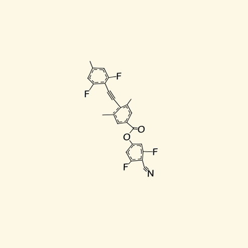 Cc1cc(F)c(C#Cc2c(C)cc(C(=O)Oc3cc(F)c(C#N)c(F)c3)cc2C)c(F)c1